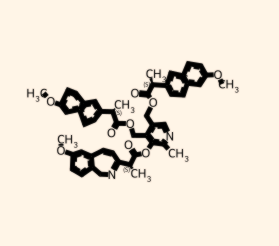 COc1ccc2c(c1)C=CC([C@H](C)C(=O)Oc1c(C)ncc(COC(=O)[C@@H](C)c3ccc4cc(OC)ccc4c3)c1COC(=O)[C@@H](C)c1ccc3cc(OC)ccc3c1)=NC2